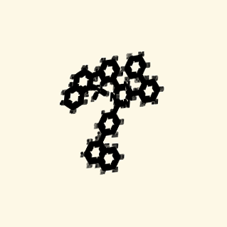 C[Si]1(C)c2c(-c3nc(-c4ccc(-c5cccc6ccccc56)cc4)nc(-c4ccccc4-c4ccccc4)n3)cccc2-c2ccc3ccccc3c21